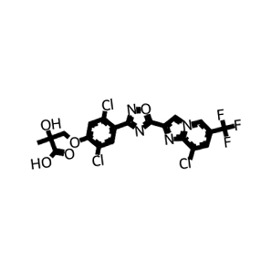 CC(O)(COc1cc(Cl)c(-c2noc(-c3cn4cc(C(F)(F)F)cc(Cl)c4n3)n2)cc1Cl)C(=O)O